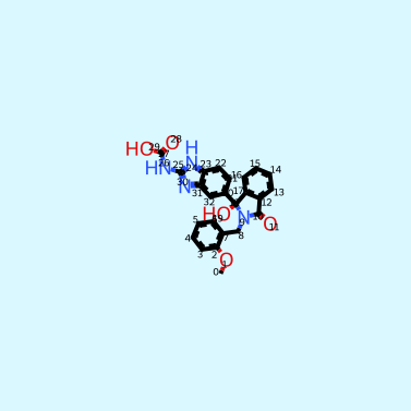 COc1ccccc1CN1C(=O)c2ccccc2C1(O)c1ccc2[nH]c(NC(=O)O)nc2c1